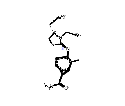 Cc1cc(C(N)=O)ccc1/N=C1\SC[C@H](CC(C)C)N1CC(C)C